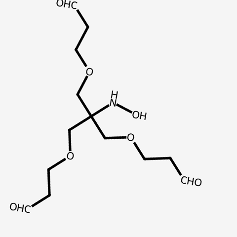 O=CCCOCC(COCCC=O)(COCCC=O)NO